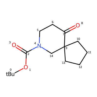 CC(C)(C)OC(=O)N1CCC(=O)C2(CCCC2)C1